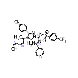 C=C(/C=C\C=C/C)[C@H]1CN(C(/N=C(\N)c2ccncc2)=N/S(=O)(=O)c2ccc(C(F)(F)F)cc2)N=C1c1ccc(Cl)cc1